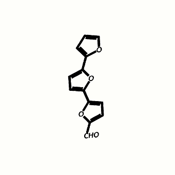 O=Cc1ccc(-c2ccc(-c3ccco3)o2)o1